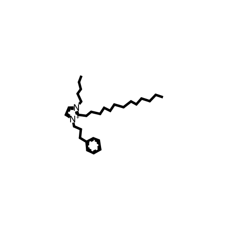 CCCCCCCCCCCCCc1n(CCCCC)cc[n+]1CCCc1ccccc1